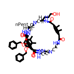 CCCCC[C@H]1CN2CCNC(=O)c3ccc(c(C)c3C)C(=O)NCCN(CCNC(=O)c3ccc(c(C)c3C)C(=O)N[C@@H](CCCO)C2)CCNC(=O)c2ccc(c(OCc3ccccc3)c2OCc2ccccc2)C(=O)N1